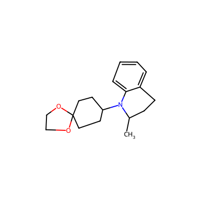 CC1CCc2ccccc2N1C1CCC2(CC1)OCCO2